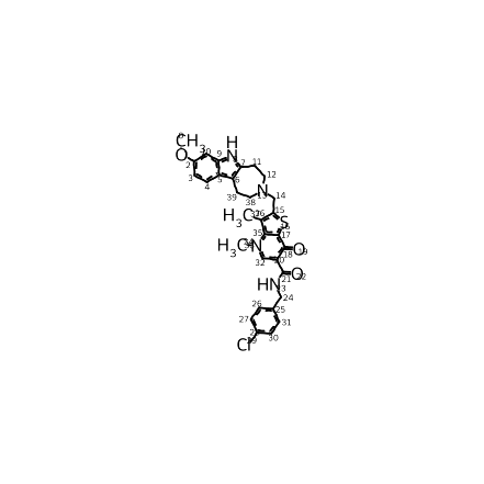 COc1ccc2c3c([nH]c2c1)CCN(Cc1sc2c(=O)c(C(=O)NCc4ccc(Cl)cc4)cn(C)c2c1C)CC3